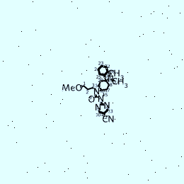 COCCCN1C(=O)N(c2ncc(C#N)cn2)C[C@]12CC[C@](c1ccccc1)(N(C)C)CC2